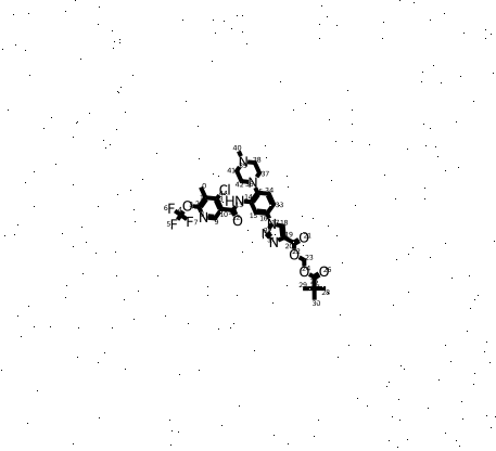 Cc1c(OC(F)(F)F)ncc(C(=O)Nc2cc(-n3cc(C(=O)OCOC(=O)C(C)(C)C)nn3)ccc2N2CCN(C)CC2)c1Cl